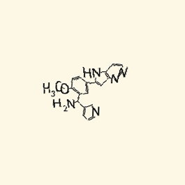 COc1ccc(-c2cc3nnccc3[nH]2)cc1C(N)c1cccnc1